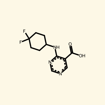 O=C(O)c1cncnc1NC1CCC(F)(F)CC1